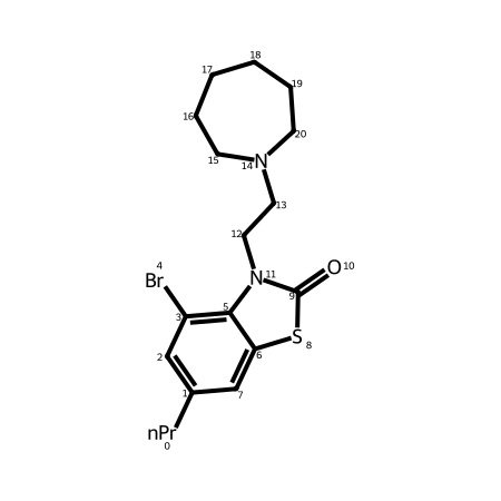 CCCc1cc(Br)c2c(c1)sc(=O)n2CCN1CCCCCC1